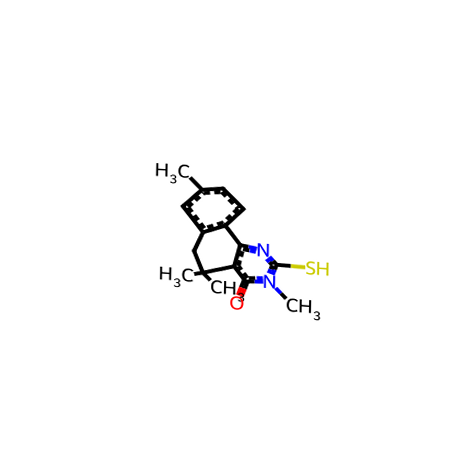 Cc1ccc2c(c1)CC(C)(C)c1c-2nc(S)n(C)c1=O